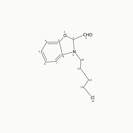 O=CC1Oc2ccccc2N1CCCCCl